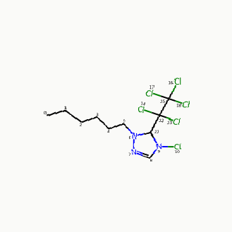 CCCCCCN1N=CN(Cl)C1C(Cl)(Cl)C(Cl)(Cl)Cl